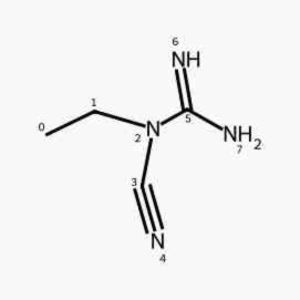 CCN(C#N)C(=N)N